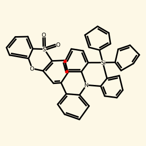 O=S1(=O)c2ccccc2Oc2cc(-c3ccccc3N3c4ccccc4[Si](c4ccccc4)(c4ccccc4)c4ccccc43)ccc21